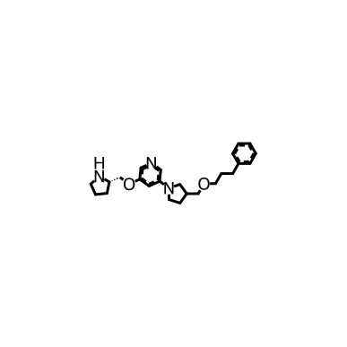 c1ccc(CCCOCC2CCN(c3cncc(OC[C@@H]4CCCN4)c3)C2)cc1